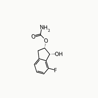 NC(=O)O[C@H]1Cc2cccc(F)c2[C@H]1O